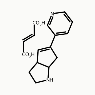 C1=C(c2cccnc2)CC2NCCC12.O=C(O)C=CC(=O)O